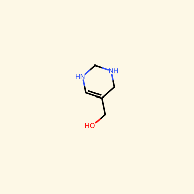 OCC1=CNCNC1